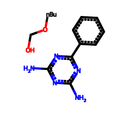 CCCCOCO.Nc1nc(N)nc(-c2ccccc2)n1